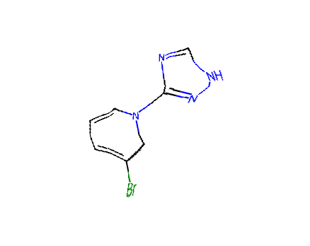 BrC1=CC=CN(c2nc[nH]n2)C1